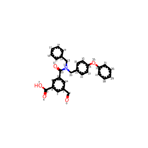 O=Cc1cc(C(=O)O)cc(C(=O)N(Cc2ccccc2)Cc2ccc(Oc3ccccc3)cc2)c1